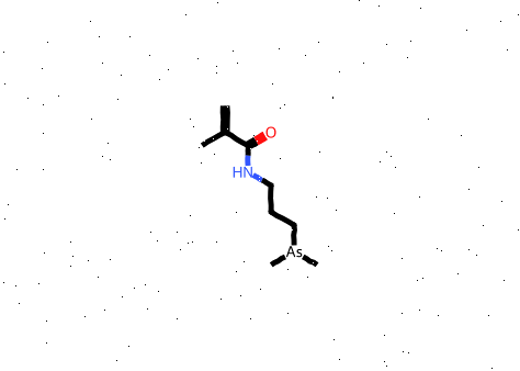 C=C(C)C(=O)NCCC[As](C)C